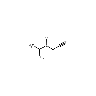 CC(C)[S+]([O-])CC#N